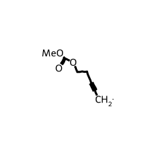 [CH2]C#CCCOC(=O)OC